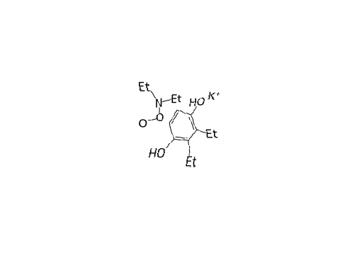 CCN(CC)O[O-].CCc1c(O)ccc(O)c1CC.[K+]